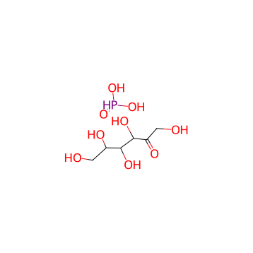 O=C(CO)C(O)C(O)C(O)CO.O=[PH](O)O